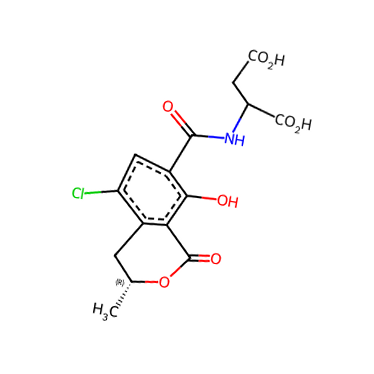 C[C@@H]1Cc2c(Cl)cc(C(=O)NC(CC(=O)O)C(=O)O)c(O)c2C(=O)O1